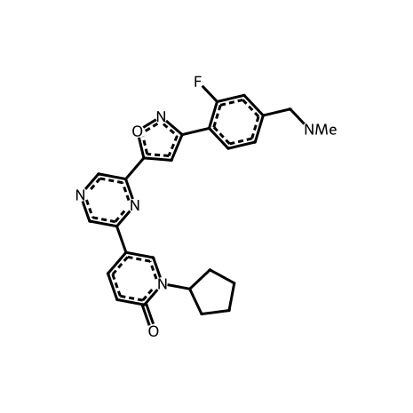 CNCc1ccc(-c2cc(-c3cncc(-c4ccc(=O)n(C5CCCC5)c4)n3)on2)c(F)c1